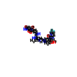 CC(C)(CN1CCC(n2cc3cc(NC(=O)c4cccc(C(F)(F)F)n4)c(C(C)(C)O)cc3n2)CC1)NCCNc1ccc2c(c1)C(=O)N(C1CCC(=O)NC1=O)C2=O